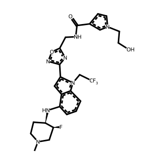 CN1CC[C@@H](Nc2cccc3c2cc(-c2noc(CNC(=O)c4ccn(CCO)c4)n2)n3CC(F)(F)F)[C@@H](F)C1